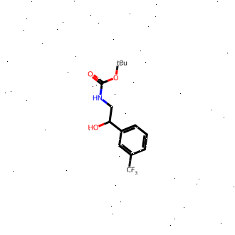 CC(C)(C)OC(=O)NCC(O)c1cccc(C(F)(F)F)c1